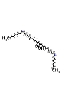 CCCCCCCC/C=C\CCCCCCCCCCC(CCCCCCCC/C=C\CCCCCCCC)C(=O)O